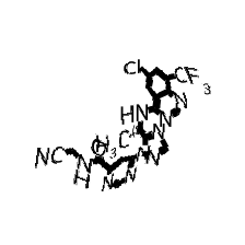 C[C@H](Nc1ncnc2c(C(F)(F)F)cc(Cl)cc12)c1ncnn1-c1cc(C(=O)NCC#N)ncn1